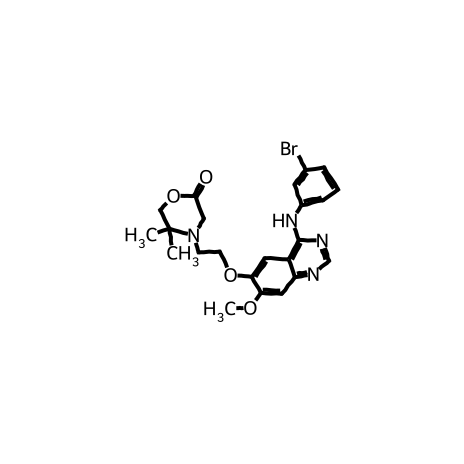 COc1cc2ncnc(Nc3cccc(Br)c3)c2cc1OCCN1CC(=O)OCC1(C)C